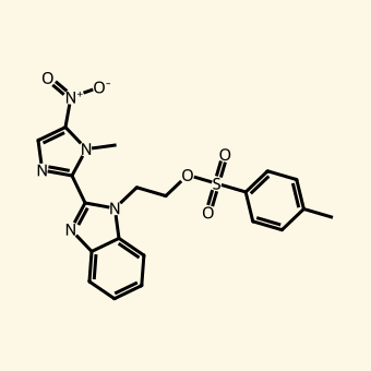 Cc1ccc(S(=O)(=O)OCCn2c(-c3ncc([N+](=O)[O-])n3C)nc3ccccc32)cc1